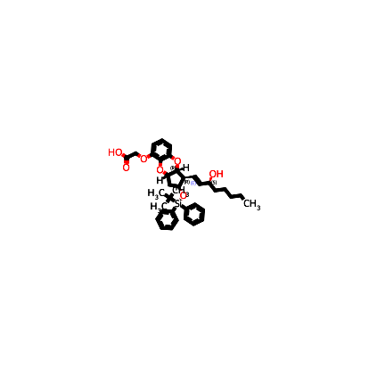 CCCCC[C@H](O)/C=C/[C@@H]1[C@H]2Oc3cccc(OCC(=O)O)c3O[C@H]2C[C@H]1O[Si](c1ccccc1)(c1ccccc1)C(C)(C)C